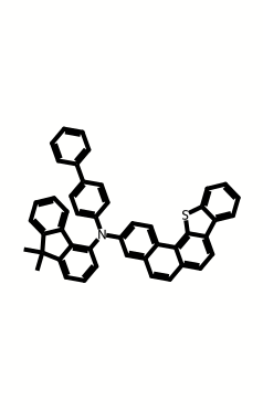 CC1(C)c2ccccc2-c2c(N(c3ccc(-c4ccccc4)cc3)c3ccc4c(ccc5ccc6c7ccccc7sc6c54)c3)cccc21